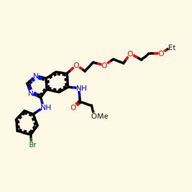 CCOCCOCCOCCOc1cc2ncnc(Nc3cccc(Br)c3)c2cc1NC(=O)COC